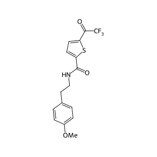 COc1ccc(CCNC(=O)c2ccc(C(=O)C(F)(F)F)s2)cc1